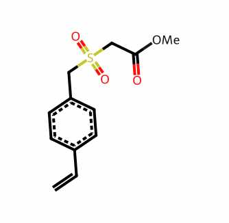 C=Cc1ccc(CS(=O)(=O)CC(=O)OC)cc1